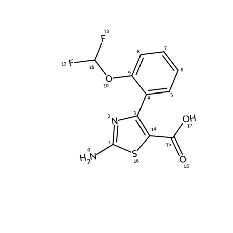 Nc1nc(-c2ccccc2OC(F)F)c(C(=O)O)s1